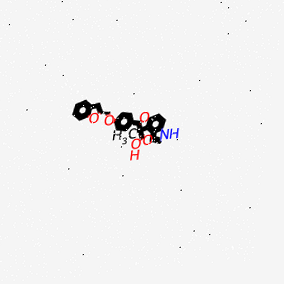 CC(C(=O)O)(C(=O)c1ccc(OC[C@@H]2Cc3ccccc3O2)cc1)c1cccc2[nH]ccc12